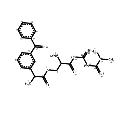 CC(=O)NC(CSC(=O)C(C)c1cccc(C(=O)c2ccccc2)c1)C(=O)NC(=N)NC(=N)N(C)C